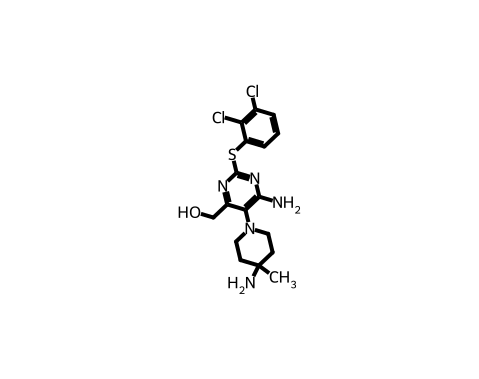 CC1(N)CCN(c2c(N)nc(Sc3cccc(Cl)c3Cl)nc2CO)CC1